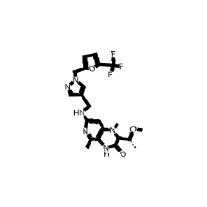 CO[C@H](C)C1C(=O)Nc2c(cc(NCc3cnn(Cc4ccc(C(F)(F)F)o4)c3)nc2C)N1C